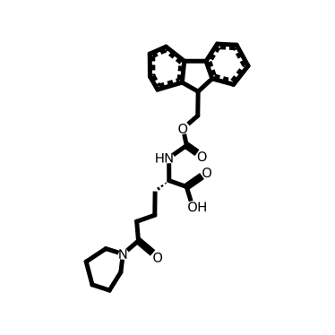 O=C(N[C@@H](CCCC(=O)N1CCCCC1)C(=O)O)OCC1c2ccccc2-c2ccccc21